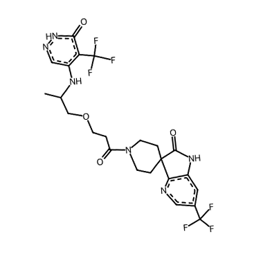 CC(COCCC(=O)N1CCC2(CC1)C(=O)Nc1cc(C(F)(F)F)cnc12)Nc1cn[nH]c(=O)c1C(F)(F)F